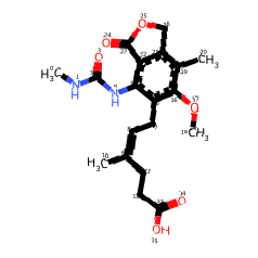 CNC(=O)Nc1c(CC=C(C)CCC(=O)O)c(OC)c(C)c2c1C(=O)OC2